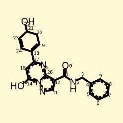 O=C(NCc1ccccc1)c1cnn2c(O)cc(C3=CCC(O)C=C3)nc12